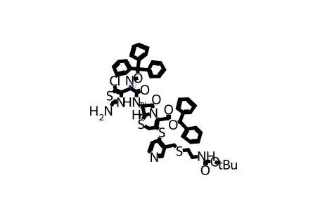 CC(C)(C)OC(=O)NCCSCc1cnccc1SC1=C(C(=O)OC(c2ccccc2)c2ccccc2)N2C(=O)[C@@H](NC(=O)/C(=N\OC(c3ccccc3)(c3ccccc3)c3ccccc3)c3nc(N)sc3Cl)[C@@H]2SC1